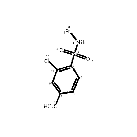 CC(C)NS(=O)(=O)c1ccc(C(=O)O)cc1Cl